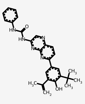 C=C(C)c1cc(-c2ccc3ncc(NC(=O)Nc4ccccc4)nc3n2)cc(C(C)(C)C)c1O